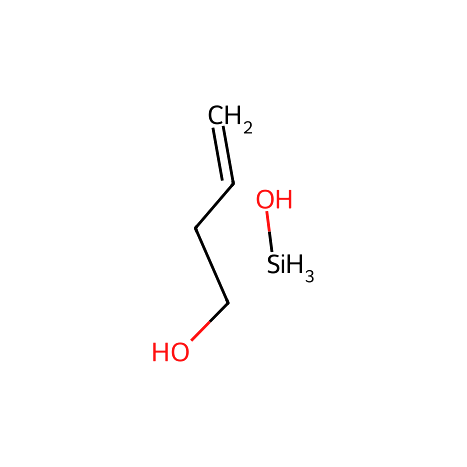 C=CCCO.O[SiH3]